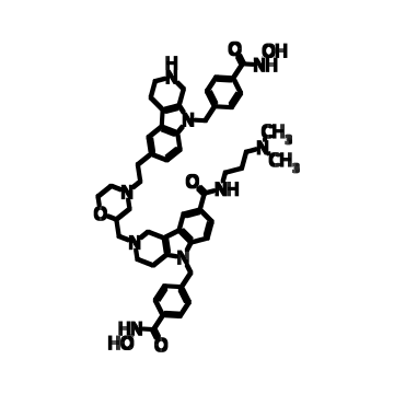 CN(C)CCCNC(=O)c1ccc2c(c1)c1c(n2Cc2ccc(C(=O)NO)cc2)CCN(CC2CN(CCc3ccc4c(c3)c3c(n4Cc4ccc(C(=O)NO)cc4)CNCC3)CCO2)C1